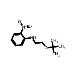 CC(C)(C)OCCNc1ccccc1[N+](=O)[O-]